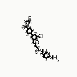 Nc1ccc(CNC(=O)/C=C/C2Cc3cc(-c4ccc(C(=O)N5CC(F)C5)cc4)cc(Cl)c3O2)cn1